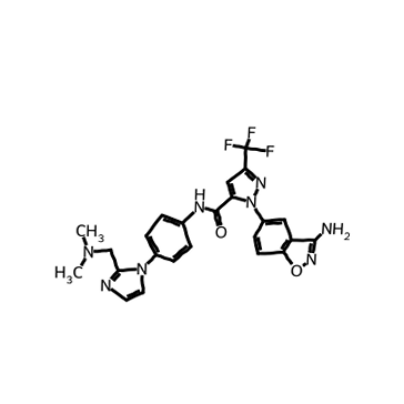 CN(C)Cc1nccn1-c1ccc(NC(=O)c2cc(C(F)(F)F)nn2-c2ccc3onc(N)c3c2)cc1